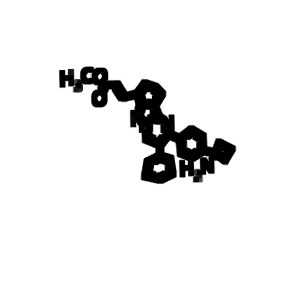 COC(=O)C=Cc1cccc2c1nn1cc(-c3ccccc3)c(-c3ccc(C4(N)CCC4)cc3)nc21